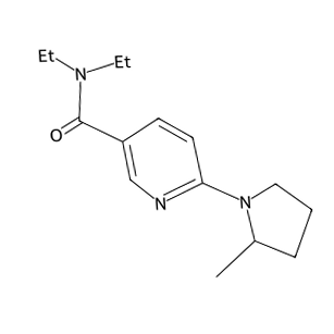 CCN(CC)C(=O)c1ccc(N2CCCC2C)nc1